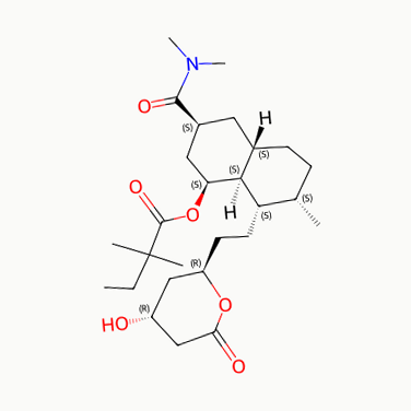 CCC(C)(C)C(=O)O[C@H]1C[C@@H](C(=O)N(C)C)C[C@@H]2CC[C@H](C)[C@H](CC[C@@H]3C[C@@H](O)CC(=O)O3)[C@H]21